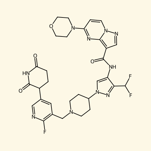 O=C1CCC(c2cnc(F)c(CN3CCC(n4cc(NC(=O)c5cnn6ccc(N7CCOCC7)nc56)c(C(F)F)n4)CC3)c2)C(=O)N1